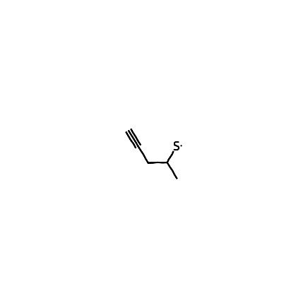 C#CCC(C)[S]